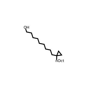 CCCCCCCCC1(CCCCCCCCCO)CC1